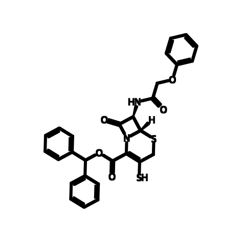 O=C(COc1ccccc1)N[C@@H]1C(=O)N2C(C(=O)OC(c3ccccc3)c3ccccc3)=C(S)CS[C@@H]12